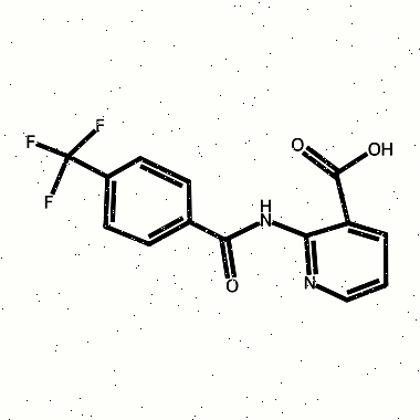 O=C(Nc1ncccc1C(=O)O)c1ccc(C(F)(F)F)cc1